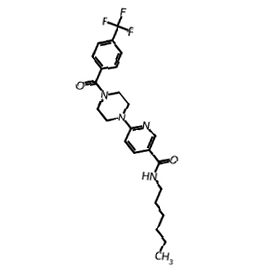 CCCCCCNC(=O)c1ccc(N2CCN(C(=O)c3ccc(C(F)(F)F)cc3)CC2)nc1